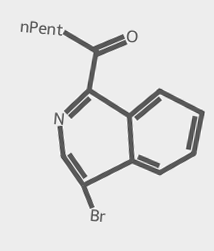 CCCCCC(=O)c1ncc(Br)c2ccccc12